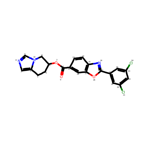 O=C(OC1CCc2cncn2C1)c1ccc2nc(-c3cc(Cl)cc(Cl)c3)oc2c1